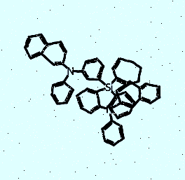 C1=CC([Si](c2ccccc2)(c2cccc(N(c3ccccc3)c3ccc4ccccc4c3)c2)c2ccccc2N(c2ccccc2)c2ccc3ccccc3c2)=CCCC1